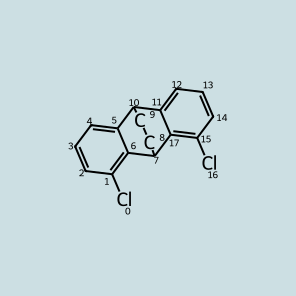 Clc1cccc2c1C1CCC2c2cccc(Cl)c21